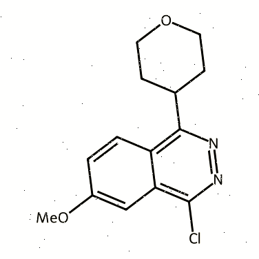 COc1ccc2c(C3CCOCC3)nnc(Cl)c2c1